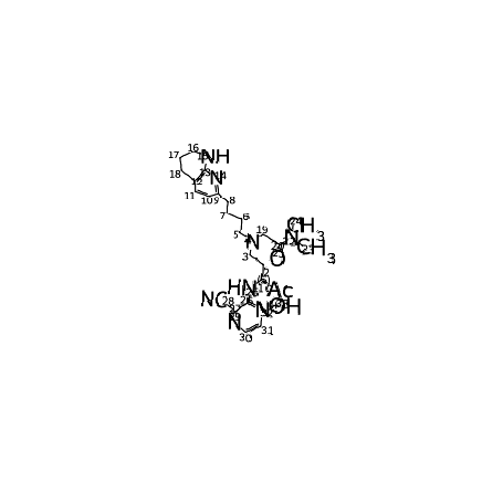 CC(=O)[C@H](CCN(CCCCc1ccc2c(n1)NCCC2)CC(=O)N(C)C)Nc1c(C#N)ncc[n+]1O